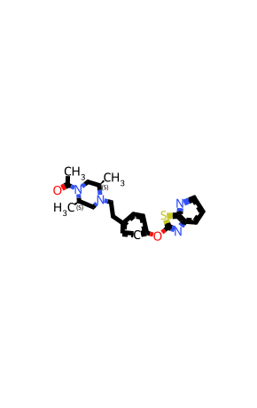 CC(=O)N1C[C@H](C)N(CCc2ccc(Oc3nc4cccnc4s3)cc2)C[C@@H]1C